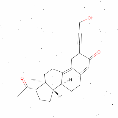 CC(=O)[C@H]1CC[C@H]2[C@@H]3CCC4=CC(=O)C(C#CCO)CC4=C3CC[C@]12C